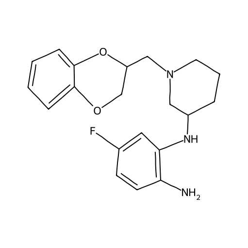 Nc1ccc(F)cc1NC1CCCN(CC2COc3ccccc3O2)C1